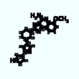 COc1cccc2c1nc(N)n1nc([C@@H]3CCCN(c4cnn([C@@H]5CCNC5)c4)C3)nc21